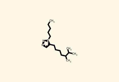 CCCCCn1nncc1CCCCC(C)C(C)C